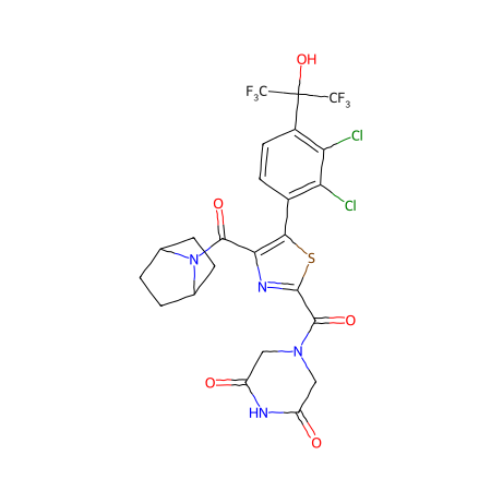 O=C1CN(C(=O)c2nc(C(=O)N3C4CCC3CC4)c(-c3ccc(C(O)(C(F)(F)F)C(F)(F)F)c(Cl)c3Cl)s2)CC(=O)N1